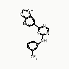 FC(F)(F)c1cccc(Nc2ncnc(-c3cnc4nc[nH]c4c3)n2)c1